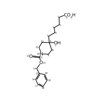 O=C(O)CCCCCC1(O)CCN(C(=O)OCc2ccccc2)CC1